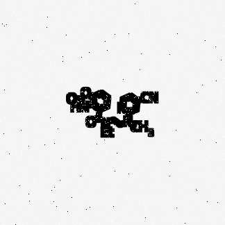 CCN(CCN(C)c1cc(C#N)ccn1)C(=O)c1cccc2oc(=O)[nH]c12